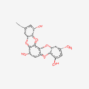 Cc1cc(O)c2oc3c(oc2c1)c(O)cc1oc2c(O)cc(O)cc2oc13